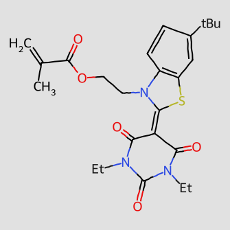 C=C(C)C(=O)OCCN1C(=C2C(=O)N(CC)C(=O)N(CC)C2=O)Sc2cc(C(C)(C)C)ccc21